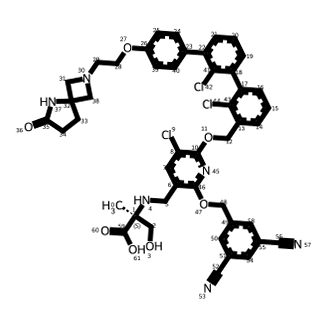 C[C@@](CO)(NCc1cc(Cl)c(OCc2cccc(-c3cccc(-c4ccc(OCCN5CC6(CCC(=O)N6)C5)cc4)c3Cl)c2Cl)nc1OCc1cc(C#N)cc(C#N)c1)C(=O)O